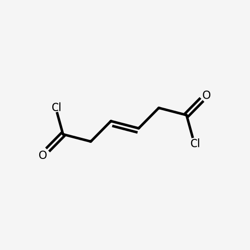 O=C(Cl)CC=CCC(=O)Cl